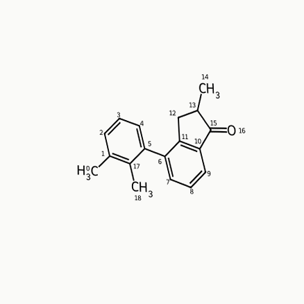 Cc1cccc(-c2cccc3c2CC(C)C3=O)c1C